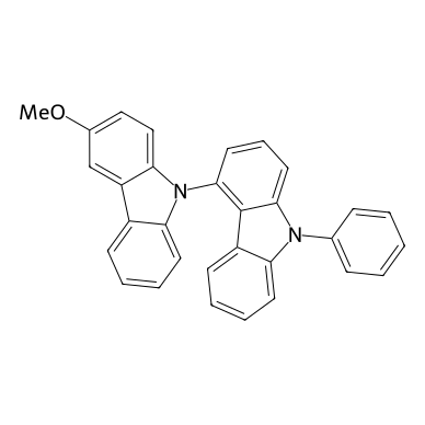 COc1ccc2c(c1)c1ccccc1n2-c1cccc2c1c1ccccc1n2-c1ccccc1